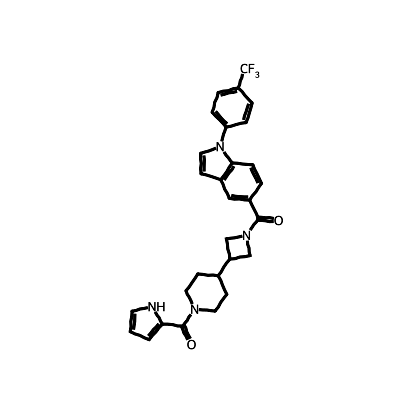 O=C(c1ccc2c(ccn2-c2ccc(C(F)(F)F)cc2)c1)N1CC(C2CCN(C(=O)c3ccc[nH]3)CC2)C1